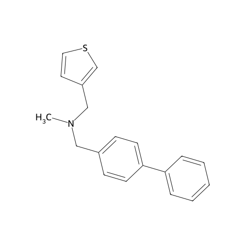 CN(Cc1ccc(-c2ccccc2)cc1)Cc1ccsc1